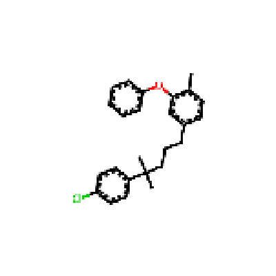 Cc1ccc(CCCC(C)(C)c2ccc(Cl)cc2)cc1Oc1ccccc1